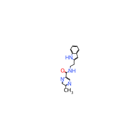 Cc1cnc(C(=O)NCCc2cc3ccccc3[nH]2)cn1